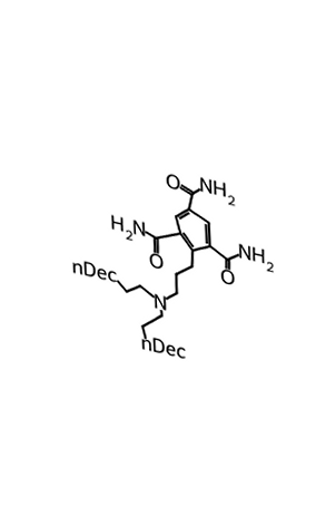 CCCCCCCCCCCCN(CCCCCCCCCCCC)CCCc1c(C(N)=O)cc(C(N)=O)cc1C(N)=O